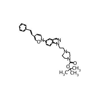 CC(C)(C)OC(=O)N1CCN(CCn2ncc3cc(N4C=CC(C=Cc5ccccc5)=CO4)ccc32)CC1